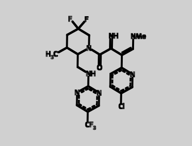 CN/C=C(\C(=N)C(=O)N1CC(F)(F)CC(C)C1CNc1ncc(C(F)(F)F)cn1)c1ccc(Cl)cn1